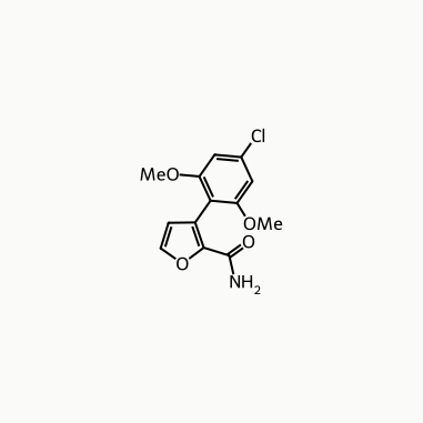 COc1cc(Cl)cc(OC)c1-c1ccoc1C(N)=O